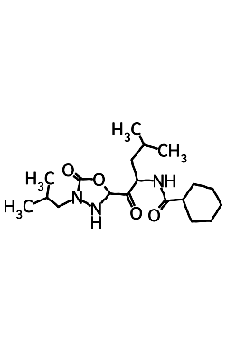 CC(C)CC(NC(=O)C1CCCCC1)C(=O)C1NN(CC(C)C)C(=O)O1